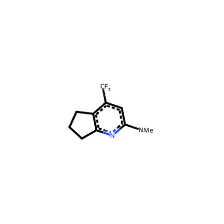 CNc1cc(C(F)(F)F)c2c(n1)CCC2